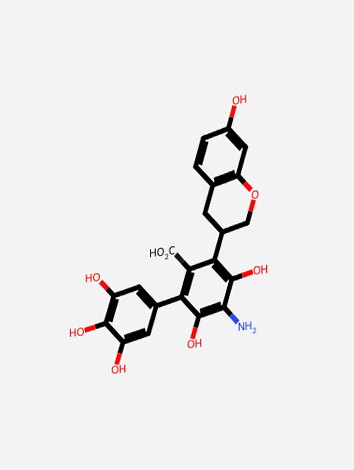 Nc1c(O)c(-c2cc(O)c(O)c(O)c2)c(C(=O)O)c(C2COc3cc(O)ccc3C2)c1O